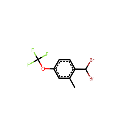 Cc1cc(OC(F)(F)F)ccc1C(Br)Br